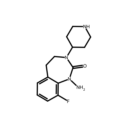 NN1C(=O)N(C2CCNCC2)CCc2cccc(F)c21